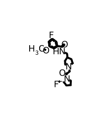 COc1cc(F)cc(C(=O)NCC2CCN(CC(=O)N3CCC[C@@H]3CF)CC2)c1